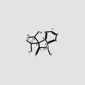 C=C1N(C)c2ccccc2C1(C(C)C)C(C)C